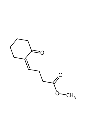 COC(=O)CC/C=C1/CCCCC1=O